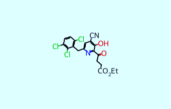 CCOC(=O)CCC(=O)c1nc(Cc2c(Cl)ccc(Cl)c2Cl)cc(C#N)c1O